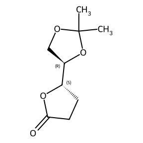 CC1(C)OC[C@H]([C@@H]2CCC(=O)O2)O1